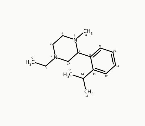 CCN1CCN(C)C(c2ccccc2C(C)C)C1